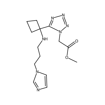 COC(=O)Cn1nnnc1C1(NCCCn2ccnc2)CCC1